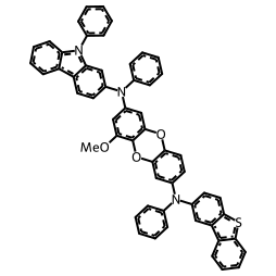 COc1cc(N(c2ccccc2)c2ccc3c4ccccc4n(-c4ccccc4)c3c2)cc2c1Oc1cc(N(c3ccccc3)c3ccc4sc5ccccc5c4c3)ccc1O2